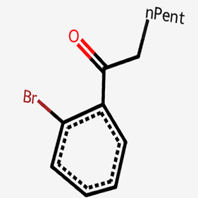 [CH2]CCCCCC(=O)c1ccccc1Br